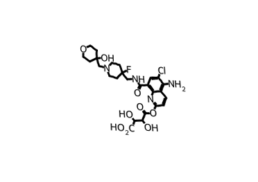 Nc1c(Cl)cc(C(=O)NCC2(F)CCN(CC3(O)CCOCC3)CC2)c2nc(OC(=O)C(O)C(O)C(=O)O)ccc12